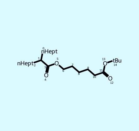 CCCCCCCC(CCCCCCC)C(=O)OCCCCCC(=O)OC(C)(C)C